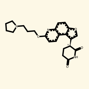 O=C1CC[C@@H](c2coc3ccc4nc(OCCCN5CCCC5)ccc4c23)C(=O)N1